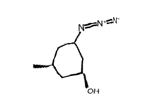 C[C@H]1CC(N=[N+]=[N-])C[C@@H](O)C1